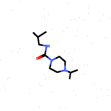 CC(C)CNC(=O)N1CCN(C(C)C)CC1